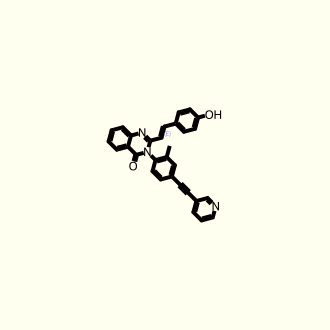 Cc1cc(C#Cc2cccnc2)ccc1-n1c(/C=C/c2ccc(O)cc2)nc2ccccc2c1=O